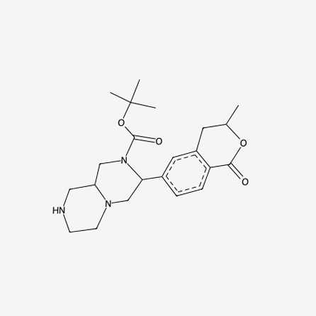 CC1Cc2cc(C3CN4CCNCC4CN3C(=O)OC(C)(C)C)ccc2C(=O)O1